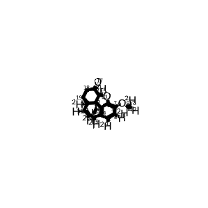 [2H]c1c([2H])c2c3c(c1OC([2H])([2H])[2H])OC1([2H])C(=O)CC[C@@]4([2H])[C@H](N(C)CC[C@]314)C2([2H])[2H]